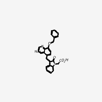 O=C(O)CN1C(=O)C(=Cc2ccc(OCc3ccccc3)c3ncccc23)c2ccccc21.[NaH]